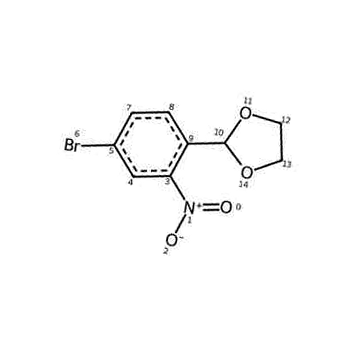 O=[N+]([O-])c1cc(Br)ccc1C1OCCO1